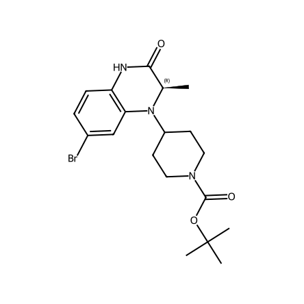 C[C@@H]1C(=O)Nc2ccc(Br)cc2N1C1CCN(C(=O)OC(C)(C)C)CC1